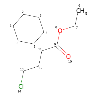 C1CCCCC1.CCOC(=O)CCCCl